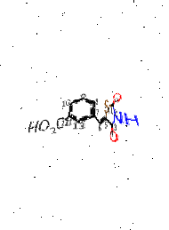 O=C1NC(=O)/C(=C/c2cccc(C(=O)O)c2)S1